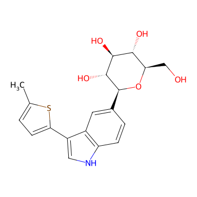 Cc1ccc(-c2c[nH]c3ccc([C@@H]4O[C@H](CO)[C@@H](O)[C@H](O)[C@H]4O)cc23)s1